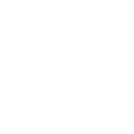 CC(C)(C)OC(=O)N1CCc2c(cc(Cl)c(C(=O)NC(Cc3cccc(S(C)(=O)=O)c3)C(=O)O)c2Cl)C1